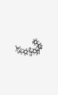 Cc1cc(NC(=O)c2ccc(CN3CCN(C)CC3)cc2)ccc1Nc1nccc(-c2cccnc2)n1